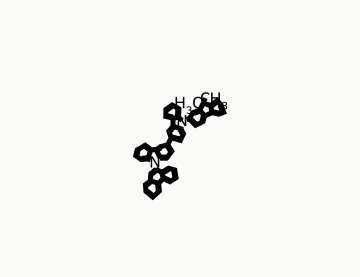 CC1(C)c2ccccc2-c2ccc(-n3c4ccccc4c4cc(-c5ccc6c(c5)c5ccccc5n6-c5cc6ccccc6c6ccccc56)ccc43)cc21